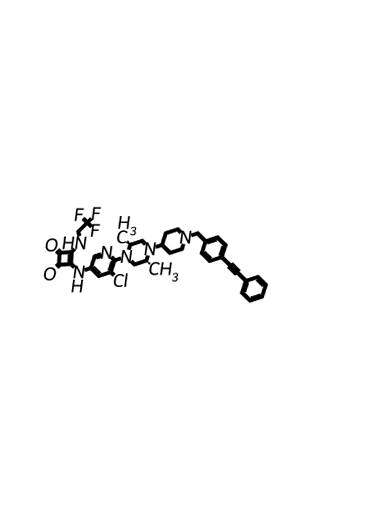 C[C@@H]1CN(c2ncc(Nc3c(NCC(F)(F)F)c(=O)c3=O)cc2Cl)[C@@H](C)CN1C1CCN(Cc2ccc(C#Cc3ccccc3)cc2)CC1